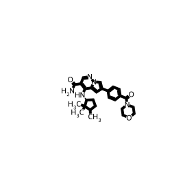 CC1CC[C@@H](Nc2c(C(N)=O)cnn3cc(-c4ccc(C(=O)N5CCOCC5)cc4)cc23)C1(C)C